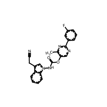 Cc1nc(-c2cccc(F)c2)ncc1OC(=O)Nn1cc(CC#N)c2ccccc21